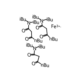 CCCCC(=O)CC(=O)N(C(C)CC)C(C)CC.CCCCC(=O)CC(=O)N(C(C)CC)C(C)CC.CCCCC(=O)CC(=O)N(C(C)CC)C(C)CC.[Fe+3]